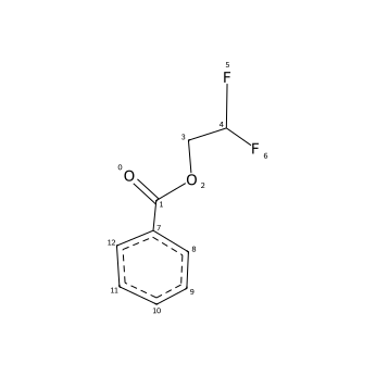 O=C(OCC(F)F)c1ccccc1